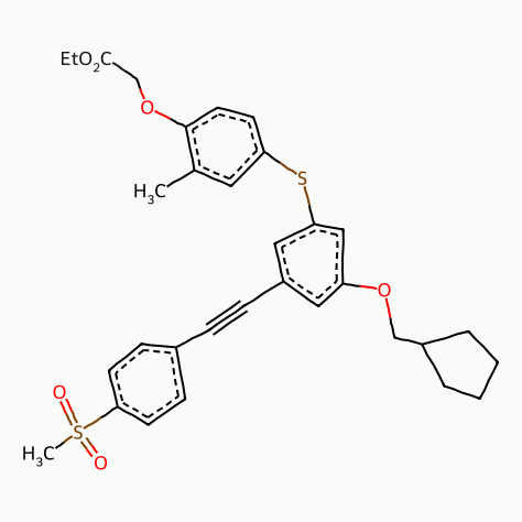 CCOC(=O)COc1ccc(Sc2cc(C#Cc3ccc(S(C)(=O)=O)cc3)cc(OCC3CCCC3)c2)cc1C